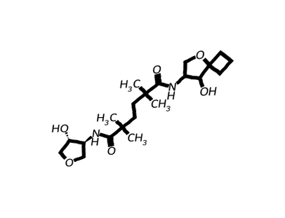 CC(C)(CCC(C)(C)C(=O)N[C@H]1COC[C@@H]1O)C(=O)NC1COC2(CCC2)C1O